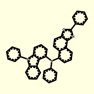 c1ccc(-c2nc3c(ccc4c(N(c5ccccc5)c5cccc6c5c5ccccc5n6-c5ccccc5)cccc43)o2)cc1